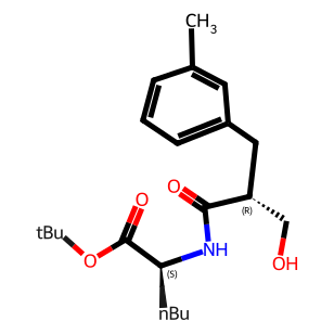 CCCC[C@H](NC(=O)[C@@H](CO)Cc1cccc(C)c1)C(=O)OC(C)(C)C